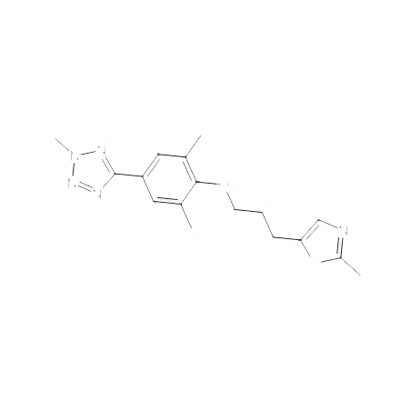 Cc1ncc(CCCOc2c(C)cc(-c3nnn(C)n3)cc2C)o1